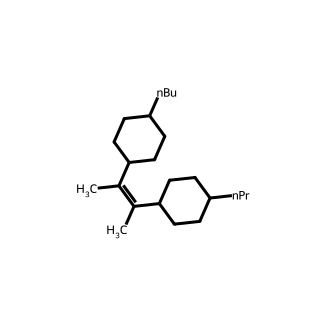 CCCCC1CCC(C(C)=C(C)C2CCC(CCC)CC2)CC1